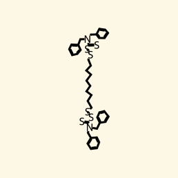 S=C(SSCCCCCCCCCCSSC(=S)N(Cc1ccccc1)Cc1ccccc1)N(Cc1ccccc1)Cc1ccccc1